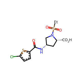 CCS(=O)(=O)N1C[C@@H](NC(=O)c2ccc(Cl)s2)C[C@H]1C(=O)O